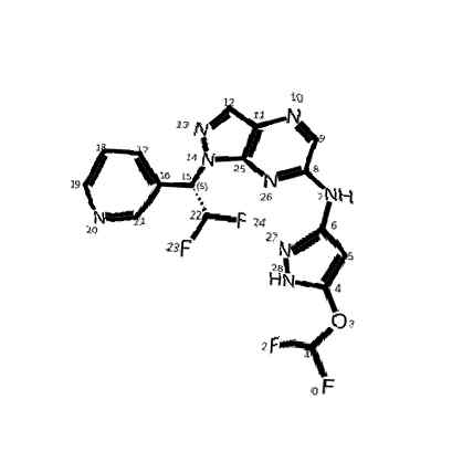 FC(F)Oc1cc(Nc2cnc3cnn([C@@H](c4cccnc4)C(F)F)c3n2)n[nH]1